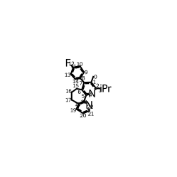 Cc1c(C(C)C)nc2c(c1-c1ccc(F)cc1)CCCc1cccnc1-2